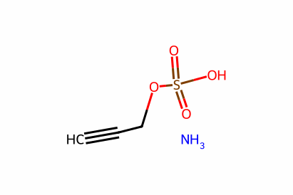 C#CCOS(=O)(=O)O.N